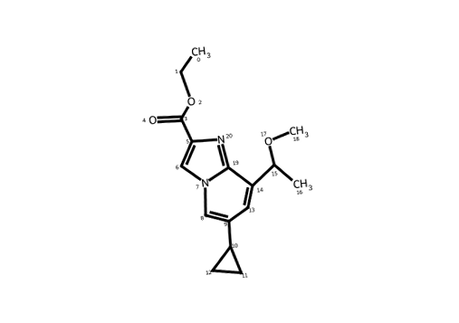 CCOC(=O)c1cn2cc(C3CC3)cc(C(C)OC)c2n1